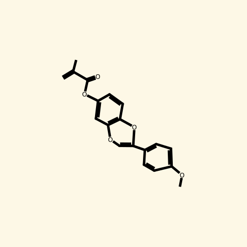 C=C(C)C(=O)Oc1ccc2c(c1)OC=C(c1ccc(OC)cc1)O2